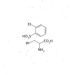 CC(C)CC(N)C(=O)O.CCc1ccccc1S(=O)(=O)O